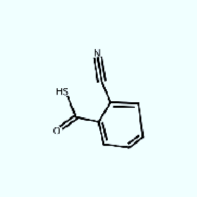 N#Cc1ccccc1C(=O)S